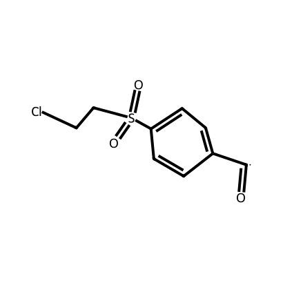 O=[C]c1ccc(S(=O)(=O)CCCl)cc1